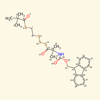 CC(C)(C)C(=O)SCCSSSC(=O)C(C)(C)NC(=O)OCC1c2ccccc2-c2ccccc21